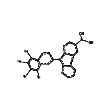 [2H]c1c([2H])c([2H])c2cc(-n3c4ccccc4c4cc(B(O)O)ccc43)ccc2c1[2H]